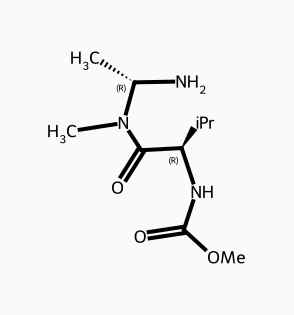 COC(=O)N[C@@H](C(=O)N(C)[C@H](C)N)C(C)C